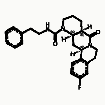 O=C1[C@@H]2CCCN(C(=O)NCCc3ccccc3)[C@@H]2C[C@@H]2c3ccc(F)cc3CCN12